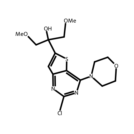 COCC(O)(COC)c1cc2nc(Cl)nc(N3CCOCC3)c2s1